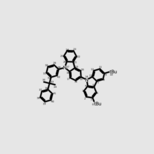 CC(C)(C)c1ccc2c(c1)c1cc(C(C)(C)C)ccc1n2-c1ccc2c(c1)c1ccccc1n2-c1cccc(C(C)(C)c2ccccc2)c1